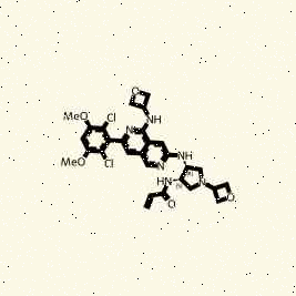 C=CC(=O)N[C@H]1CN(C2COC2)C[C@H]1Nc1cc2c(NC3COC3)nc(-c3c(Cl)c(OC)cc(OC)c3Cl)cc2cn1